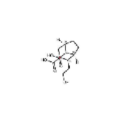 O=C(O)N1C[C@H]2CC[C@@H]([C@H]1CCO)N2C(=O)O